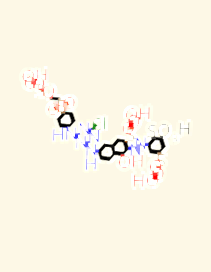 O=S(=O)(O)c1ccc(SOOO)cc1/N=N/c1c(SOOO)cc2cc(Nc3nc(Cl)nc(Nc4ccc(S(=O)(=O)CCOSOOO)cc4)n3)ccc2c1O